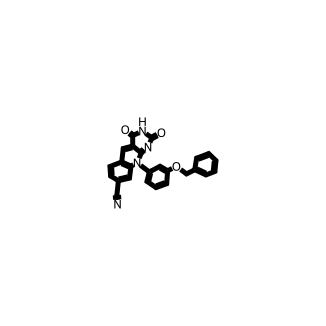 N#Cc1ccc2cc3c(=O)[nH]c(=O)nc-3n(-c3cccc(OCc4ccccc4)c3)c2c1